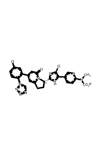 CN(C(=O)O)c1ccc(-c2[nH]c([C@@H]3CCc4cc(-c5cc(Cl)ccc5-n5cnnn5)cc(=O)n43)nc2Cl)cn1